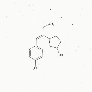 CCC(=Cc1ccc(O)cc1)C1CCC(O)C1